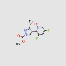 CC(C)(C)OC(=O)n1cc(-c2c(F)cc(F)c[n+]2[O-])c(C2CC2)n1